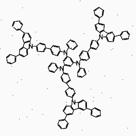 c1ccc(-c2ccc3c(c2)c2cc(-c4ccccc4)ccc2n3-c2ccc(-c3ccc(N(c4ccccc4)c4cc(N(c5ccccc5)c5ccc(-c6ccc(-n7c8ccc(-c9ccccc9)cc8c8cc(-c9ccccc9)ccc87)cc6)cc5)cc(N(c5ccccc5)c5ccc(-c6ccc(-n7c8ccc(-c9ccccc9)cc8c8cc(-c9ccccc9)ccc87)cc6)cc5)c4)cc3)cc2)cc1